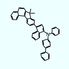 CC1(C)c2cc(-c3ccc(N(c4ccccc4)c4ccc(-c5ccccc5)cc4)c4ccccc34)ccc2-c2c1ccc1ccccc21